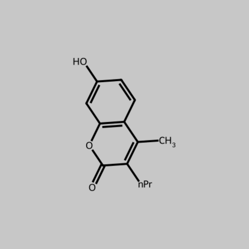 CCCc1c(C)c2ccc(O)cc2oc1=O